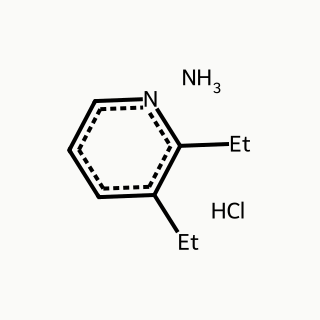 CCc1cccnc1CC.Cl.N